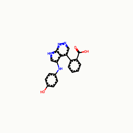 O=C(O)c1ccccc1-c1cnnc2[nH]cc(Nc3ccc(O)cc3)c12